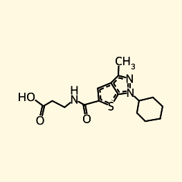 Cc1nn(C2CCCCC2)c2sc(C(=O)NCCC(=O)O)cc12